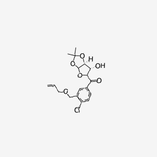 C=CCOCc1cc(C(=O)C2OC3OC(C)(C)O[C@H]3[C@@H]2O)ccc1Cl